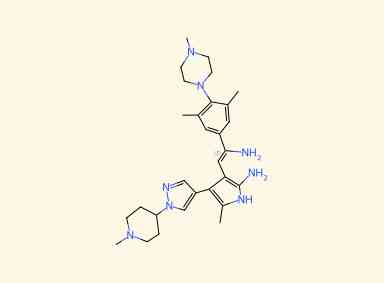 Cc1cc(/C(N)=C/c2c(N)[nH]c(C)c2-c2cnn(C3CCN(C)CC3)c2)cc(C)c1N1CCN(C)CC1